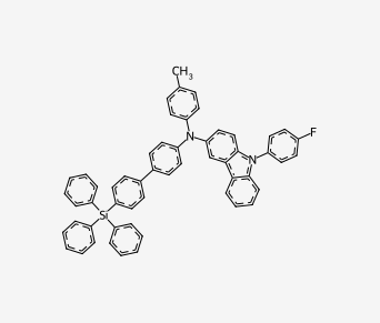 Cc1ccc(N(c2ccc(-c3ccc([Si](c4ccccc4)(c4ccccc4)c4ccccc4)cc3)cc2)c2ccc3c(c2)c2ccccc2n3-c2ccc(F)cc2)cc1